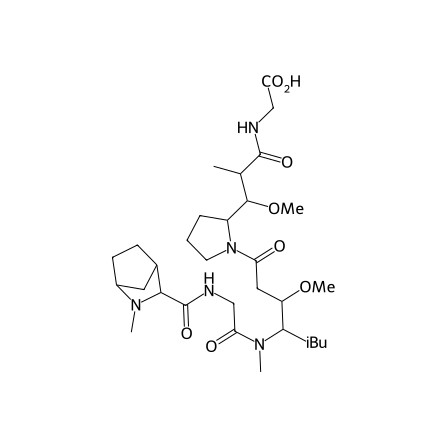 CCC(C)C(C(CC(=O)N1CCCC1C(OC)C(C)C(=O)NCC(=O)O)OC)N(C)C(=O)CNC(=O)C1C2CCC(C2)N1C